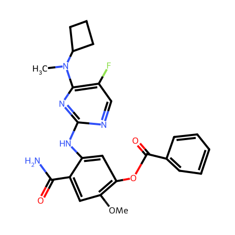 COc1cc(C(N)=O)c(Nc2ncc(F)c(N(C)C3CCC3)n2)cc1OC(=O)c1ccccc1